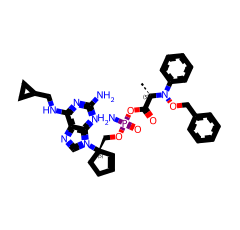 C[C@@H](C(=O)OP(N)(=O)OC[C@@]1(n2cnc3c(NCC4CC4)nc(N)nc32)C=CCC1)N(OCc1ccccc1)c1ccccc1